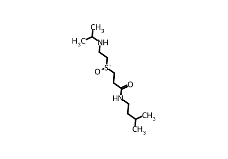 CC(C)CCNC(=O)CC[S+]([O-])CCNC(C)C